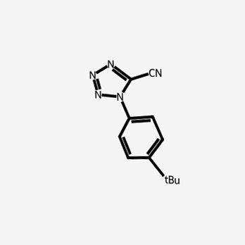 CC(C)(C)c1ccc(-n2nnnc2C#N)cc1